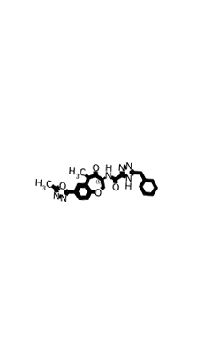 Cc1nnc(-c2ccc3c(c2)C(C)C(=O)[C@@H](NC(=O)c2nnc(CC4CCCCC4)[nH]2)CO3)o1